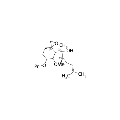 COC1C(OC(C)C)CC[C@]2(CO2)C1[C@@](C)(O)[C@@H]1CC1C=C(C)C